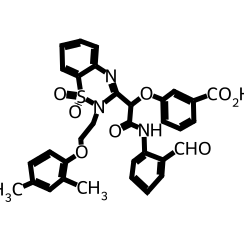 Cc1ccc(OCCN2C(C(Oc3cccc(C(=O)O)c3)C(=O)Nc3ccccc3C=O)=Nc3ccccc3S2(=O)=O)c(C)c1